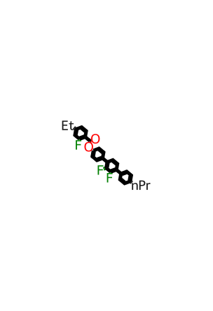 CCCc1ccc(-c2ccc(-c3ccc(OC(=O)c4ccc(CC)cc4F)cc3)c(F)c2F)cc1